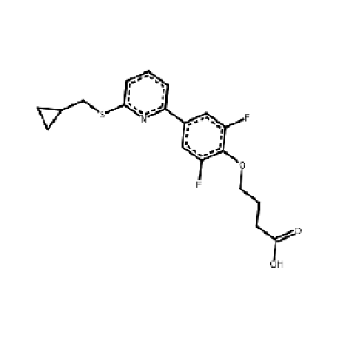 O=C(O)CCCOc1c(F)cc(-c2cccc(SCC3CC3)n2)cc1F